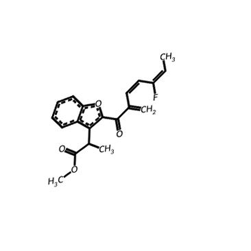 C=C(/C=C\C(F)=C/C)C(=O)c1oc2ccccc2c1C(C)C(=O)OC